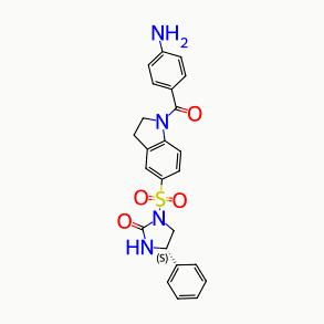 Nc1ccc(C(=O)N2CCc3cc(S(=O)(=O)N4C[C@H](c5ccccc5)NC4=O)ccc32)cc1